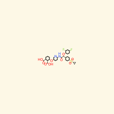 O=C(O)c1cccc(Oc2ccc(NC(=O)C(Oc3ccc(F)cc3F)c3ccc(S(=O)(=O)C4CC4)cc3)nc2)c1C(=O)O